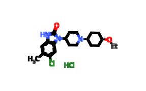 CCO[C@H]1CC[C@H](N2CCC(n3c(=O)[nH]c4cc(C)c(Cl)cc43)CC2)CC1.Cl